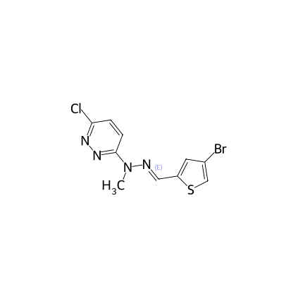 CN(/N=C/c1cc(Br)cs1)c1ccc(Cl)nn1